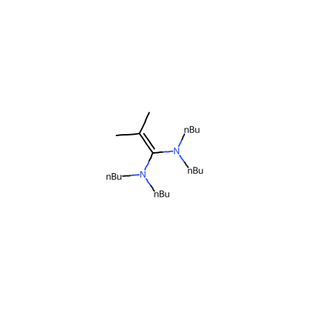 CCCCN(CCCC)C(=C(C)C)N(CCCC)CCCC